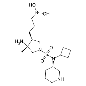 C[C@]1(N)CN(S(=O)(=O)N(C2CCC2)[C@@H]2CCCNC2)C[C@@H]1CCCB(O)O